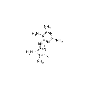 Cc1n[nH]c(N)c1N.Nc1nc(N)c(N)c(N)n1